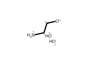 Cl.Cl.[SiH3]CCCl